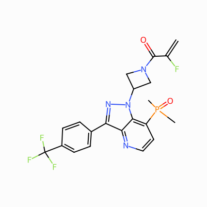 C=C(F)C(=O)N1CC(n2nc(-c3ccc(C(F)(F)F)cc3)c3nccc(P(C)(C)=O)c32)C1